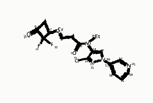 CCN(C(=O)CCSC1CC(=O)C1(F)F)c1cn(-c2cccnc2)nc1Cl